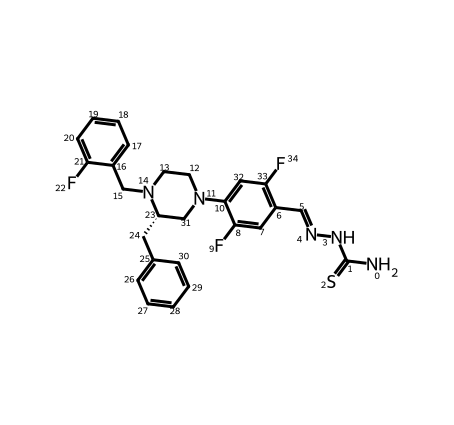 NC(=S)N/N=C/c1cc(F)c(N2CCN(Cc3ccccc3F)[C@@H](Cc3ccccc3)C2)cc1F